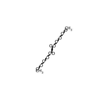 COCCOCCOCCOCCOC(=O)C#CC(=O)OCCOCCOCCOCCOC